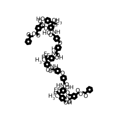 CC(c1ccc(O)c(NC(=O)c2ccc(Oc3ccc(C(=O)Nc4cc(C(C)(c5ccc(O)c(N6C(=O)c7ccc(C(=O)OCC(=O)c8ccccc8)cc7C6=O)c5)C(F)(F)F)ccc4O)cc3)cc2)c1)(c1ccc(O)c(NC(=O)c2ccc(Oc3ccc(C(=O)Nc4cc(C(C)(c5ccc(O)c(N6C(=O)c7ccc(C(=O)OCC(=O)c8ccccc8)cc7C6=O)c5)C(F)(F)F)ccc4O)cc3)cc2)c1)C(F)(F)F